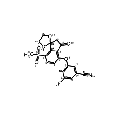 CS(=O)(=O)c1ccc(Oc2cc(F)cc(C#N)c2)c2c1C1(CC2=O)OCCO1